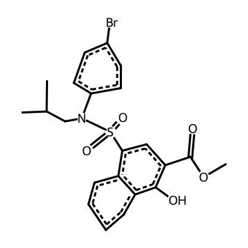 COC(=O)c1cc(S(=O)(=O)N(CC(C)C)c2ccc(Br)cc2)c2ccccc2c1O